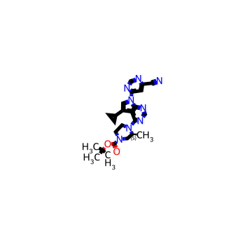 C[C@H]1CN(C(=O)OC(C)(C)C)CCN1c1ncnc2c1c(C1CC1)cn2-c1cc(C#N)ncn1